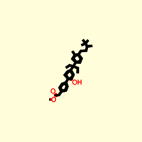 CCC(CC)(c1ccc(CCC(C)C(C)(C)C)c(C)c1)c1ccc(-c2ccc(CC(=O)OC)cc2)c(O)c1